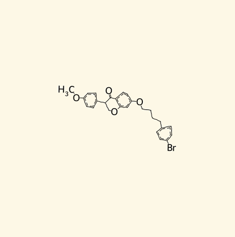 COc1ccc(C2COc3cc(OCCCCc4ccc(Br)cc4)ccc3C2=O)cc1